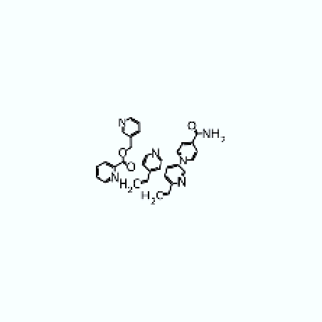 C=Cc1ccccn1.C=Cc1ccncc1.NC(=O)c1ccncc1.O=C(OCc1cccnc1)c1ccccn1